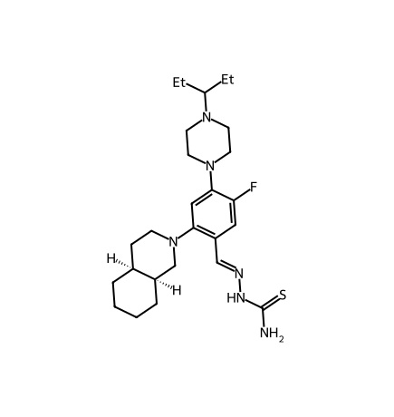 CCC(CC)N1CCN(c2cc(N3CC[C@@H]4CCCC[C@@H]4C3)c(C=NNC(N)=S)cc2F)CC1